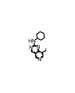 Ic1cncc2cnc(NC3CCCCC3)nc12